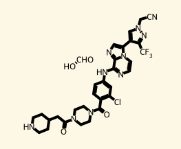 N#CCn1cc(-c2cnc3c(Nc4ccc(C(=O)N5CCN(C(=O)CC6CCNCC6)CC5)c(Cl)c4)nccn23)c(C(F)(F)F)n1.O=CO